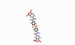 O=C(Nc1ccc(S(=O)(=O)c2ccc(NC(=O)C3CCC4C(=O)OC(=O)C4C3)cc2)cc1)C1CCC2C(=O)OC(=O)C2C1